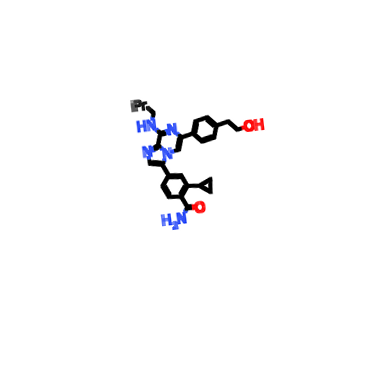 CC(C)CNc1nc(-c2ccc(CCO)cc2)cn2c(-c3ccc(C(N)=O)c(C4CC4)c3)cnc12